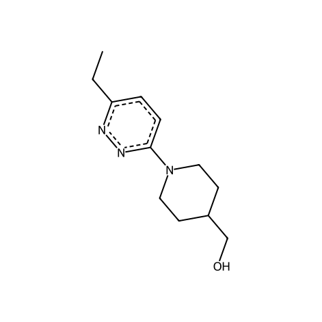 CCc1ccc(N2CCC(CO)CC2)nn1